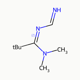 CN(C)/C(=N\C=N)C(C)(C)C